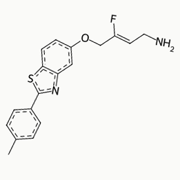 Cc1ccc(-c2nc3cc(OC/C(F)=C/CN)ccc3s2)cc1